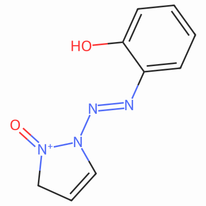 O=[N+]1CC=CN1N=Nc1ccccc1O